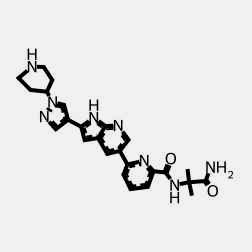 CC(C)(NC(=O)c1cccc(-c2cnc3[nH]c(-c4cnn(C5CCNCC5)c4)cc3c2)n1)C(N)=O